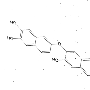 Oc1cc2ccc(Oc3cc4ccccc4cc3O)cc2cc1O